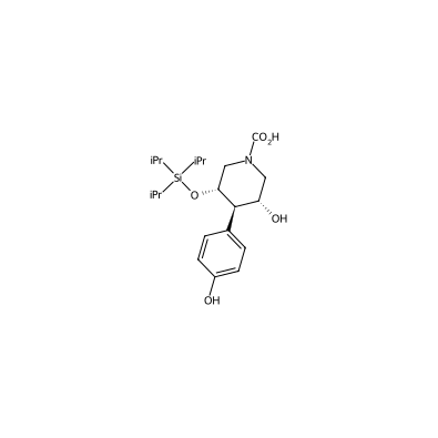 CC(C)[Si](O[C@@H]1CN(C(=O)O)C[C@H](O)[C@H]1c1ccc(O)cc1)(C(C)C)C(C)C